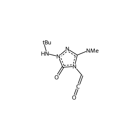 CNc1nn(NC(C)(C)C)c(=O)n1C=C=O